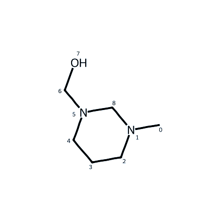 CN1CCCN(CO)C1